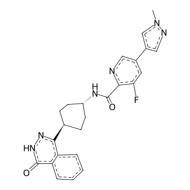 Cn1cc(-c2cnc(C(=O)N[C@H]3CC[C@H](c4n[nH]c(=O)c5ccccc54)CC3)c(F)c2)cn1